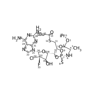 CC(C)OC(=O)[C@H](C)N[P@@](=S)(OCCSC(=O)C(C)(C)C)OC[C@H]1O[C@@H](n2cnc3c(N)nc(N)nc32)[C@@](F)(Cl)[C@@H]1O